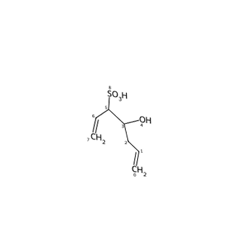 C=CCC(O)C(C=C)S(=O)(=O)O